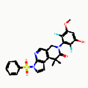 COc1cc(O)c(F)c(N2Cc3cnc4c(ccn4S(=O)(=O)c4ccccc4)c3C(C)(C)C2=O)c1F